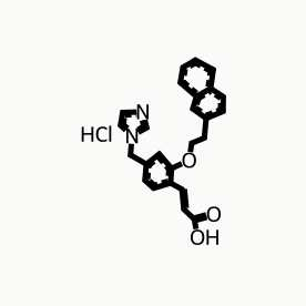 Cl.O=C(O)C=Cc1ccc(Cn2ccnc2)cc1OCCc1ccc2ccccc2c1